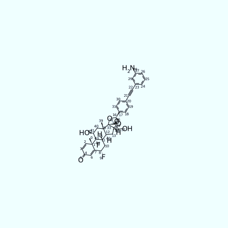 C[C@]12C=CC(=O)C=C1[C@@H](F)C[C@H]1[C@@H]3C[C@H]4O[C@H](c5ccc(C#Cc6cccc(N)c6)cc5)O[C@@]4(C(=O)CO)[C@@]3(C)C[C@H](O)[C@@]12F